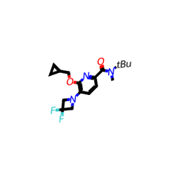 CN(C(=O)c1ccc(N2CC(F)(F)C2)c(OCC2CC2)n1)C(C)(C)C